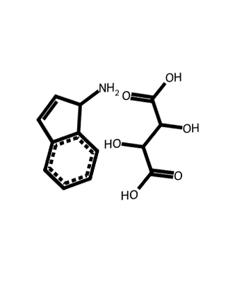 NC1C=Cc2ccccc21.O=C(O)C(O)C(O)C(=O)O